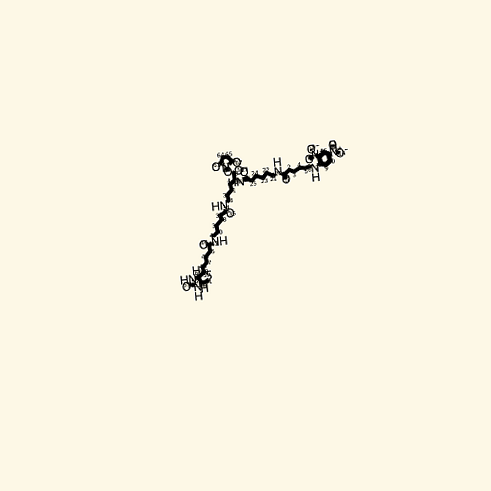 O=C(CCCCCNc1ccc([N+](=O)[O-])cc1[N+](=O)[O-])NCCCCCC(=O)NC(CCCCNC(=O)CCCCCNC(=O)CCCCC1SC[C@@H]2NC(=O)N[C@H]12)C(=O)ON1C(=O)CCC1=O